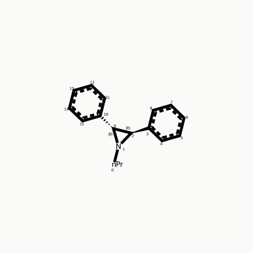 CCCN1[C@H](c2ccccc2)[C@H]1c1ccccc1